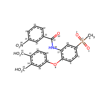 CS(=O)(=O)c1ccc(Oc2ccc(C(=O)O)c(C(=O)O)c2)c(NC(=O)c2cccc([N+](=O)[O-])c2)c1